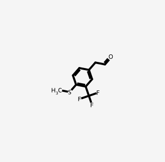 CSc1ccc(CC=O)cc1C(F)(F)F